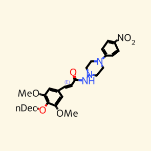 CCCCCCCCCCOc1c(OC)cc(/C=C/C(=O)NN2CCN(c3ccc([N+](=O)[O-])cc3)CC2)cc1OC